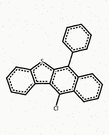 Clc1c2ccccc2c(-c2ccccc2)c2sc3ccccc3c12